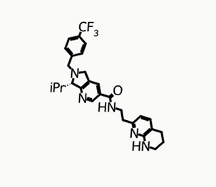 CC(C)[C@H]1c2ncc(C(=O)NCCc3ccc4c(n3)NCCC4)cc2CN1Cc1ccc(C(F)(F)F)cc1